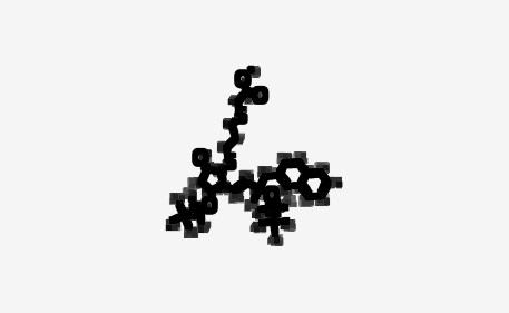 COC(=O)CSCCCS[C@H]1C(=O)C[C@@H](O[Si](C)(C)C(C)(C)C)[C@@H]1C=CC(C)(Cc1ccc2ccccc2c1)O[Si](C)(C)C(C)(C)C